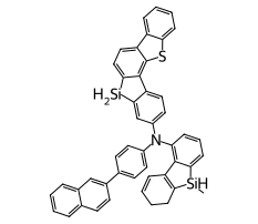 C[SiH]1C2=C(C=CCC2)c2c(N(c3ccc(-c4ccc5ccccc5c4)cc3)c3ccc4c(c3)[SiH2]c3ccc5c(sc6ccccc65)c3-4)cccc21